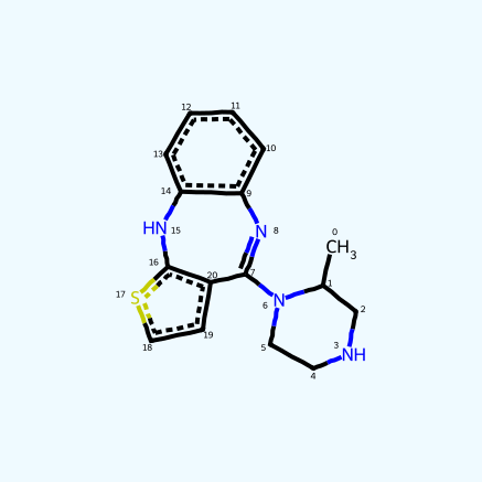 CC1CNCCN1C1=Nc2ccccc2Nc2sccc21